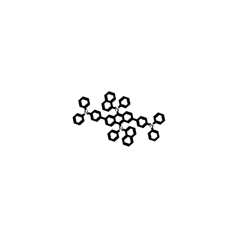 C1=CC(N(c2ccccc2)c2ccc(-c3ccc4c(N(c5ccccc5)c5cccc6ccccc56)c5cc(-c6ccc(N(c7ccccc7)c7ccccc7)cc6)ccc5c(N(c5ccccc5)c5cccc6ccccc56)c4c3)cc2)=CCC1